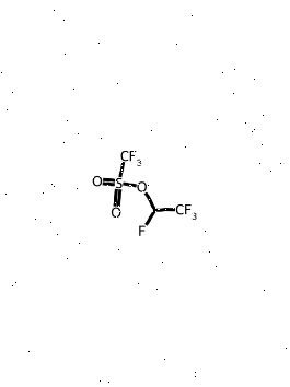 O=S(=O)(OC(F)C(F)(F)F)C(F)(F)F